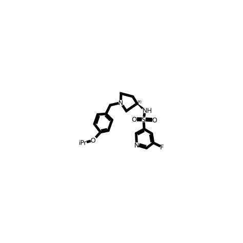 CC(C)Oc1ccc(CN2CC[C@@H](NS(=O)(=O)c3cncc(F)c3)C2)cc1